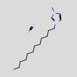 CCCCCCCCCCCC[n+]1ccn(C)c1.N#C[S-]